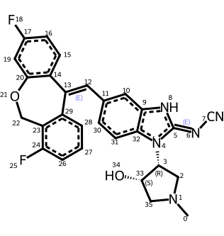 CN1C[C@@H](n2/c(=N/C#N)[nH]c3cc(/C=C4/c5ccc(F)cc5OCc5c(F)cccc54)ccc32)[C@@H](O)C1